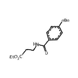 CCCCc1ccc(C(=O)NCCC(=O)OCC)cc1